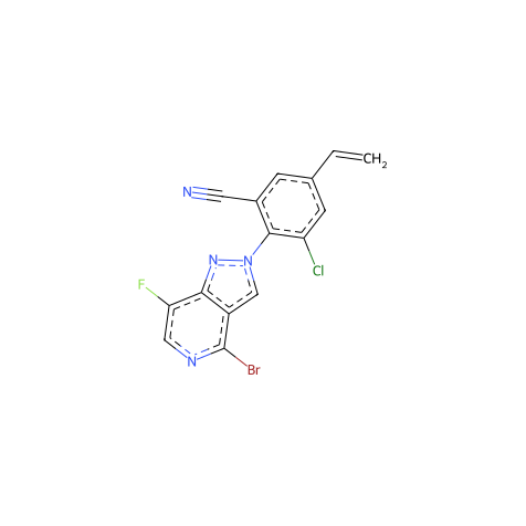 C=Cc1cc(Cl)c(-n2cc3c(Br)ncc(F)c3n2)c(C#N)c1